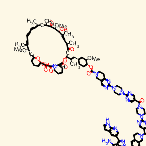 CO[C@H]1C[C@@H]2CCC[C@@](O)(O2)C(=O)C(=O)N2CCCC[C@H]2C(=O)O[C@H]([C@H](C)C[C@@H]2CC[C@@H](OC(=O)N3CCc4nc(N5CCN(c6ncc(C(=O)N7CCN(c8ncc(C(=O)N9CCc%10cc(Cn%11nc(-c%12cnc%13[nH]ccc%13c%12)c%12c(N)ncnc%12%11)ccc%10C9)cn8)CC7)cn6)CC5)ncc4C3)[C@H](OC)C2)CC(=O)[C@H](C)/C=C(\C)[C@@H](O)[C@@H](OC)C(=O)[C@H](C)C[C@H](C)/C=C/C=C/C=C/1C